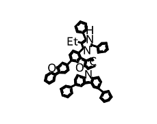 CCC1=C(c2ccccc2)NC(c2ccccc2)N=C1c1ccc(-c2ccc3c(c2)oc2ccccc23)c2oc3c(-n4c5ccc(-c6ccccc6)cc5c5cc(-c6ccccc6)ccc54)cccc3c12